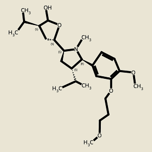 COCCCOc1cc([C@H]2[C@H](C(C)C)C[C@@H]([C@@H]3C[C@@H](C(C)C)C(O)O3)N2C)ccc1OC